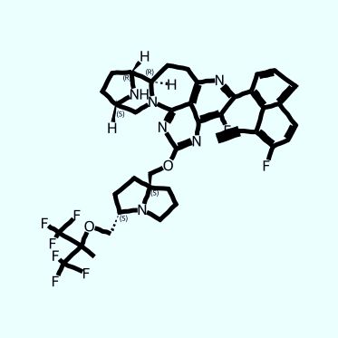 C#Cc1c(F)ccc2cccc(-c3nc4c5c(nc(OC[C@@]67CCCN6[C@H](COC(C)(C(F)(F)F)C(F)(F)F)CC7)nc5c3F)N3C[C@@H]5CC[C@@H](N5)[C@H]3CC4)c12